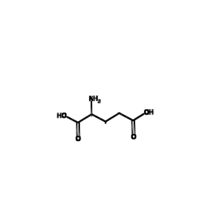 N[C]([CH]CC(=O)O)C(=O)O